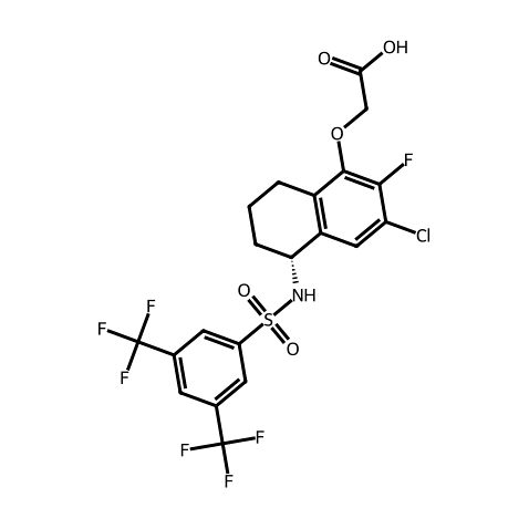 O=C(O)COc1c(F)c(Cl)cc2c1CCC[C@H]2NS(=O)(=O)c1cc(C(F)(F)F)cc(C(F)(F)F)c1